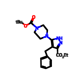 CCOC(=O)c1n[nH]c(N2CCN(C(=O)OC(C)(C)C)CC2)c1Cc1ccccc1